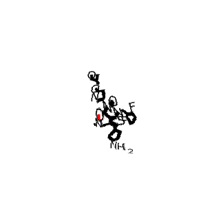 CN(C)Cc1c(-c2ccc(N)cc2)sc2c1c(=O)n(-c1ccc(OCC3COC3)nc1)c(=O)n2Cc1c(F)cccc1F